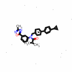 Cc1noc(-c2cccc(N(CC34CCC(c5ccc(C6CC6)cc5)(CC3)CC4)C(=O)C(C)C)c2)n1